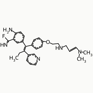 CC/C(=C(/c1ccc(OCCNC/C=C/N(C)C)cc1)c1ccc(N)c(C(=N)F)c1)c1cccnc1